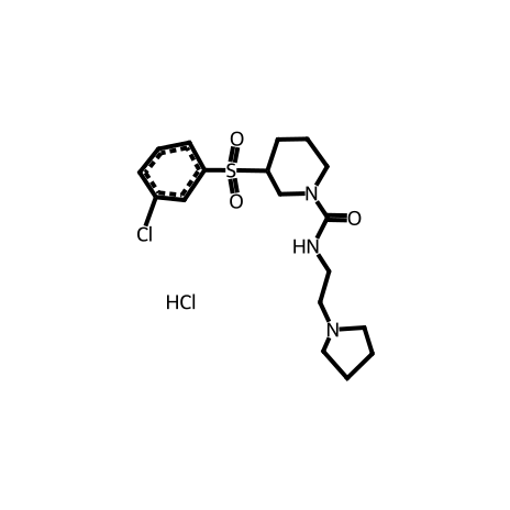 Cl.O=C(NCCN1CCCC1)N1CCCC(S(=O)(=O)c2cccc(Cl)c2)C1